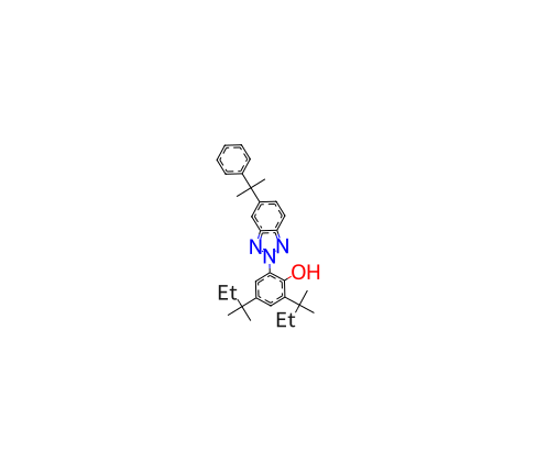 CCC(C)(C)c1cc(-n2nc3ccc(C(C)(C)c4ccccc4)cc3n2)c(O)c(C(C)(C)CC)c1